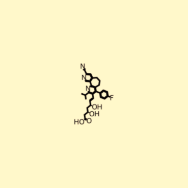 CC(C)c1nc2c(c(-c3ccc(F)cc3)c1/C=C/[C@@H](O)C[C@@H](O)CC(=O)O)CCCc1cc(C#N)ncc1-2